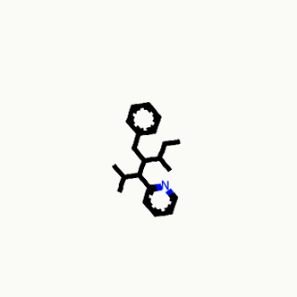 CCC(C)[C](Cc1ccccc1)C(c1ccccn1)C(C)C